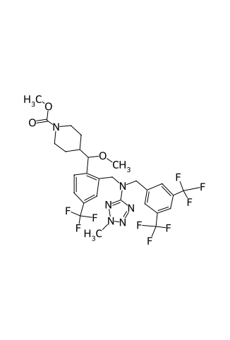 COC(=O)N1CCC(C(OC)c2ccc(C(F)(F)F)cc2CN(Cc2cc(C(F)(F)F)cc(C(F)(F)F)c2)c2nnn(C)n2)CC1